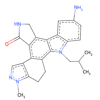 CC(C)Cn1c2ccc(N)cc2c2c3c(c4c(c21)CCc1c-4cnn1C)C(=O)NC3